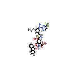 Cc1cc(Nc2nccc(C(F)(F)F)n2)cc(-c2cnc(C3(O)CCC(NC(=O)OC4c5ccccc5-c5ccccc54)(C(=O)O)CC3)s2)c1